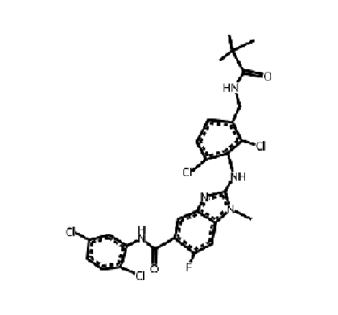 Cn1c(Nc2c(Cl)ccc(CNC(=O)C(C)(C)C)c2Cl)nc2cc(C(=O)Nc3cc(Cl)ccc3Cl)c(F)cc21